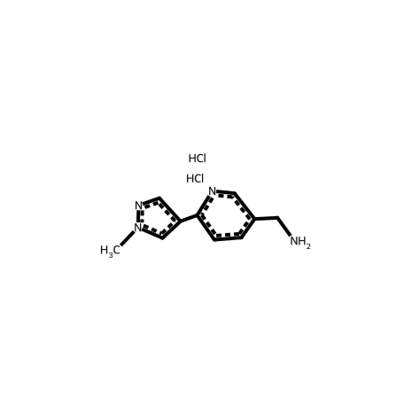 Cl.Cl.Cn1cc(-c2ccc(CN)cn2)cn1